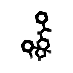 O=C(NC1=NC[C@H]2CNC[C@]2(c2ccccc2F)S1)c1ccccc1